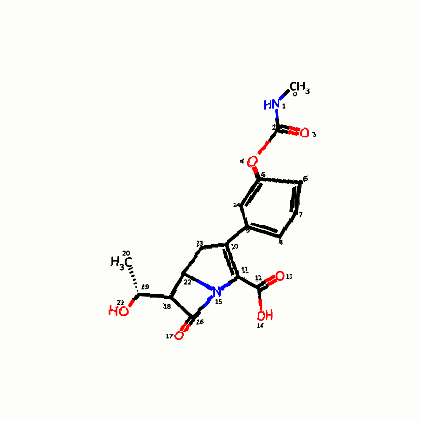 CNC(=O)Oc1cccc(C2=C(C(=O)O)N3C(=O)C([C@@H](C)O)C3C2)c1